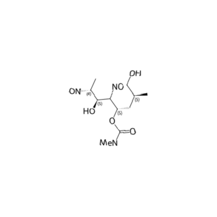 CNC(=O)O[C@@H](C[C@H](C)CO)C(N=O)[C@@H](O)[C@@H](C)N=O